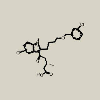 C[C@H](CC(=O)O)CC(=O)c1c(CCCCOCc2cccc(Cl)c2)n(C)c2ccc(Cl)cc12